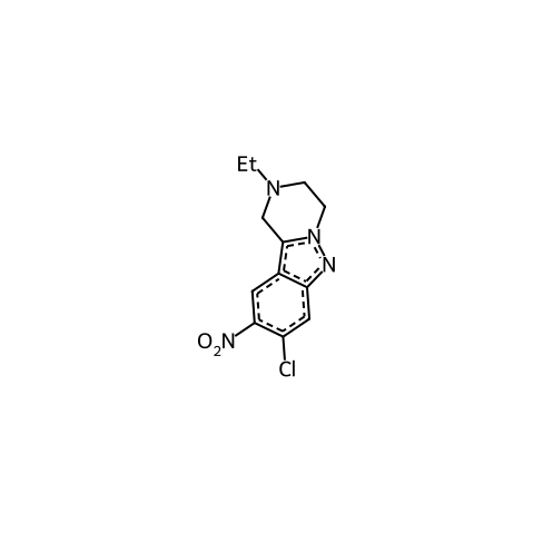 CCN1CCn2nc3cc(Cl)c([N+](=O)[O-])cc3c2C1